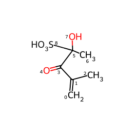 C=C(C)C(=O)C(C)(O)S(=O)(=O)O